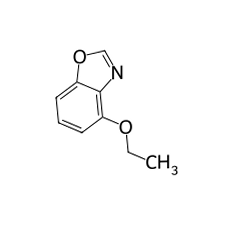 CCOc1cccc2ocnc12